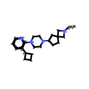 CCOC(=O)N1CC2(CC[C@@H](N3CCN(c4ncccc4C4CCC4)CC3)C2)C1